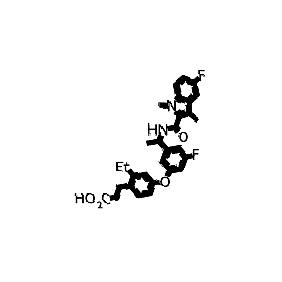 CCc1cc(Oc2cc(F)cc(C(C)NC(=O)c3c(C)c4cc(F)ccc4n3C)c2)ccc1CCC(=O)O